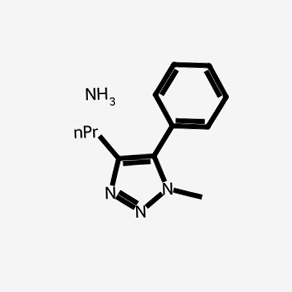 CCCc1nnn(C)c1-c1ccccc1.N